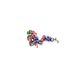 COc1cc2c(C(=O)OC(=O)C(F)(F)F)cnc(C(=O)c3cccc(OCC(=O)N4CCN(C)CC4)c3)c2cc1OC